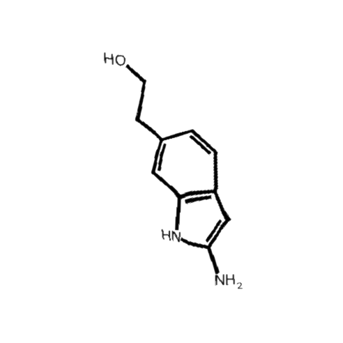 Nc1cc2ccc(CCO)cc2[nH]1